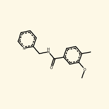 COc1cc(C(=O)NCc2ccccn2)ccc1C